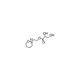 O=C(OCC[SiH]1CCCCO1)C(O)CO